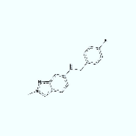 Cn1cc2ccc(NCc3ccc(Br)cc3)cc2n1